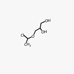 CC(Cl)OCC(O)CO